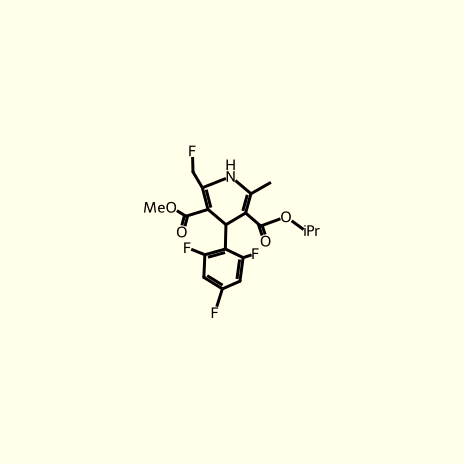 COC(=O)C1=C(CF)NC(C)=C(C(=O)OC(C)C)C1c1c(F)cc(F)cc1F